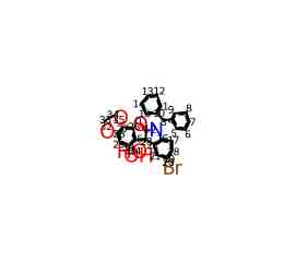 O=C1N(C(c2ccccc2)c2ccccc2)c2ccc(Br)cc2C1(O)c1cc2c(cc1O)OCCO2